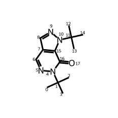 CC(C)(C)n1ncc2cnn(C(C)(C)C)c2c1=O